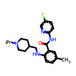 Cc1ccc(NCC2CCN(C(C)C)CC2)c(C(=O)Nc2ccc(F)cn2)c1